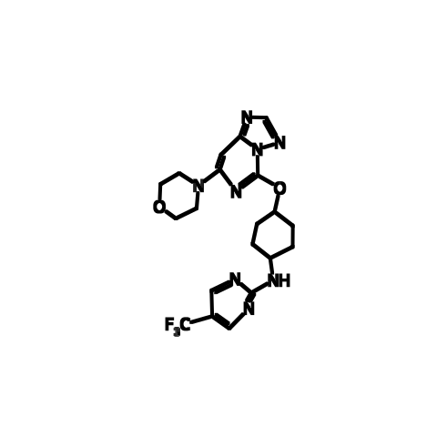 FC(F)(F)c1cnc(NC2CCC(Oc3nc(N4CCOCC4)cc4ncnn34)CC2)nc1